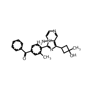 Cc1cc(C(=O)c2ccccc2)ccc1C1=NC(C2CC(C)(O)C2)=C2C=NC=C[N+]12N